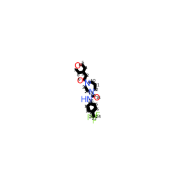 O=C(CC1CCOCC1)N1CCCN(C(=O)Nc2ccc(C(F)(F)F)cc2)CC1